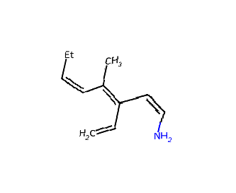 C=CC(/C=C\N)=C(C)\C=C/CC